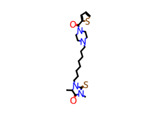 CC1C(=O)N(C)C(=S)N1CCCCCCCCN1CCN(C(=O)c2cccs2)CC1